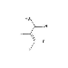 CC(=N)C(F)=C(F)F